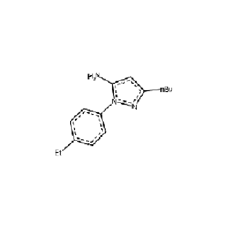 CCCCc1cc(N)n(-c2ccc(CC)cc2)n1